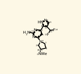 CN[C@@H]1CCN(c2cc(-c3[nH]ncc3C(F)F)nc(N)n2)C1